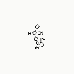 CC(C)c1cccc(C(C)C)c1Oc1ccc(-c2[nH]cc(-c3ccccc3)c2C#N)cc1